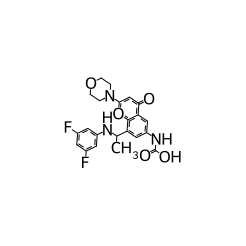 CC(Nc1cc(F)cc(F)c1)c1cc(NC(=O)O)cc2c(=O)cc(N3CCOCC3)oc12